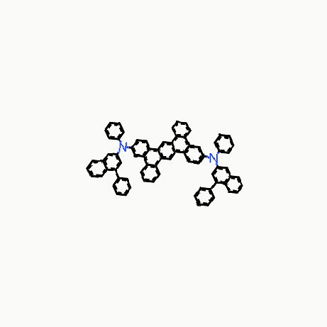 c1ccc(-c2cc(N(c3ccccc3)c3ccc4c(c3)c3ccccc3c3cc5c6ccc(N(c7ccccc7)c7cc(-c8ccccc8)c8ccccc8c7)cc6c6ccccc6c5cc43)cc3ccccc23)cc1